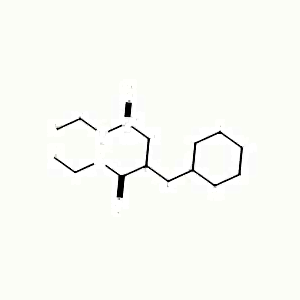 CCOC(=O)C(CC1CCCCC1)C[PH](=O)OCC